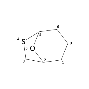 C1CC2CSC(C1)O2